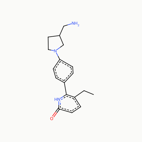 CCc1ccc(=O)[nH]c1-c1ccc(N2CCC(CN)C2)cc1